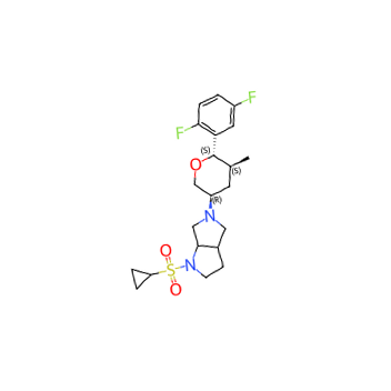 C[C@H]1C[C@@H](N2CC3CCN(S(=O)(=O)C4CC4)C3C2)CO[C@@H]1c1cc(F)ccc1F